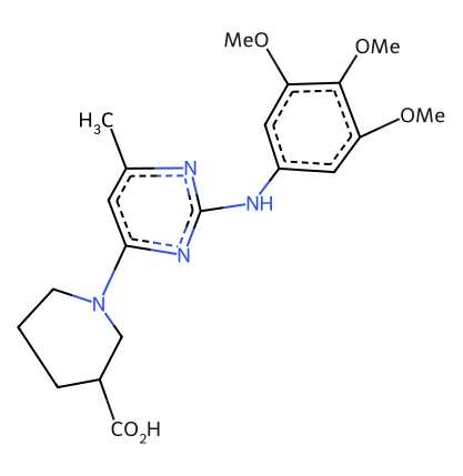 COc1cc(Nc2nc(C)cc(N3CCCC(C(=O)O)C3)n2)cc(OC)c1OC